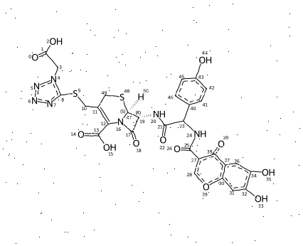 O=C(O)Cn1nnnc1SCC1=C(C(=O)O)N2C(=O)[C@@H](NC(=O)C(NC(=O)c3coc4cc(O)c(O)cc4c3=O)c3ccc(O)cc3)[C@@H]2SC1